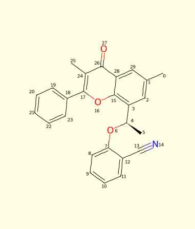 Cc1cc([C@@H](C)Oc2ccccc2C#N)c2oc(-c3ccccc3)c(C)c(=O)c2c1